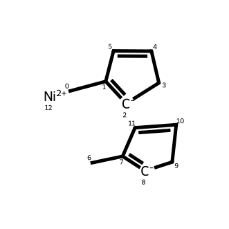 CC1=[C-]CC=C1.CC1=[C-]CC=C1.[Ni+2]